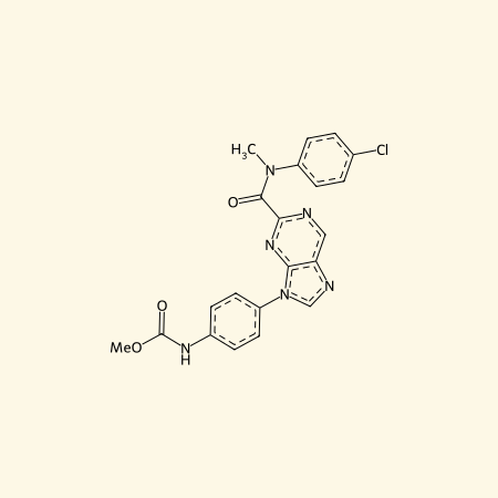 COC(=O)Nc1ccc(-n2cnc3cnc(C(=O)N(C)c4ccc(Cl)cc4)nc32)cc1